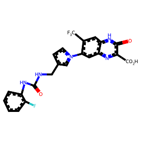 O=C(NCc1ccn(-c2cc3nc(C(=O)O)c(=O)[nH]c3cc2C(F)(F)F)c1)Nc1ccccc1F